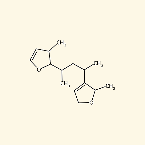 CC(CC(C)C1OC=CC1C)C1=CCOC1C